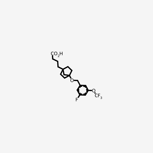 O=C(O)CCCC12CCC(OCc3cc(F)cc(OC(F)(F)F)c3)(CC1)C2